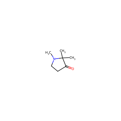 CN1CCC(=O)C1(C)C